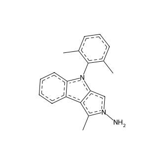 Cc1cccc(C)c1-n1c2ccccc2c2c(C)n(N)cc21